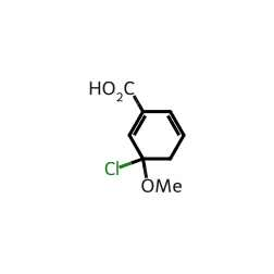 COC1(Cl)C=C(C(=O)O)C=CC1